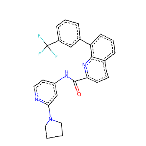 O=C(Nc1ccnc(N2CCCC2)c1)c1ccc2cccc(-c3cccc(C(F)(F)F)c3)c2n1